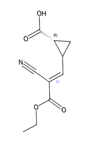 CCOC(=O)/C(C#N)=C/C1C[C@H]1C(=O)O